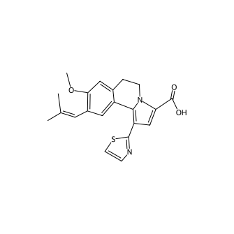 COc1cc2c(cc1C=C(C)C)-c1c(-c3nccs3)cc(C(=O)O)n1CC2